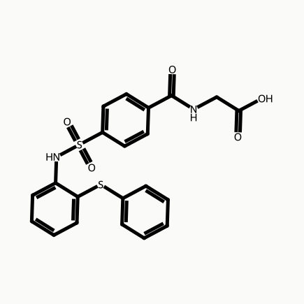 O=C(O)CNC(=O)c1ccc(S(=O)(=O)Nc2ccccc2Sc2ccccc2)cc1